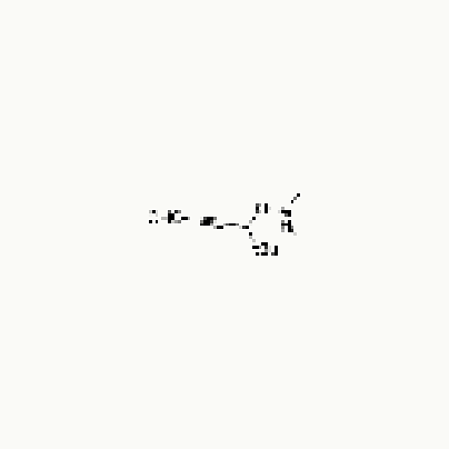 C[SiH](C)OC(C#CC=O)C(C)(C)C